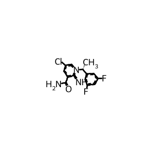 C[C@H](c1cc(F)cc(F)c1)n1cc(Cl)cc(C(N)=O)c1=N